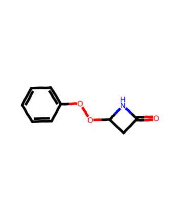 O=C1CC(OOc2ccccc2)N1